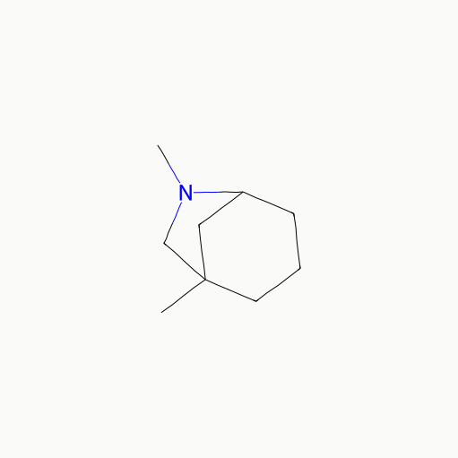 CN1CC2(C)CCCC1C2